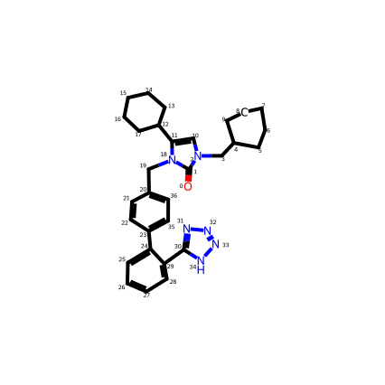 O=c1n(CC2CCCCC2)cc(C2CCCCC2)n1Cc1ccc(-c2ccccc2-c2nnn[nH]2)cc1